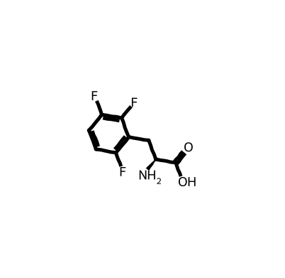 N[C@@H](Cc1c(F)ccc(F)c1F)C(=O)O